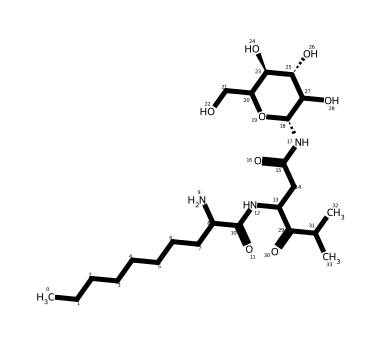 CCCCCCCCC(N)C(=O)NC(CC(=O)N[C@@H]1OC(CO)[C@@H](O)[C@H](O)C1O)C(=O)C(C)C